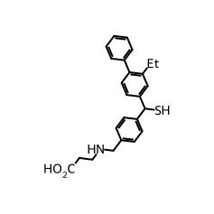 CCc1cc(C(S)c2ccc(CNCCC(=O)O)cc2)ccc1-c1ccccc1